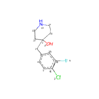 OC1(Cc2ccc(Cl)c(F)c2)CCNCC1